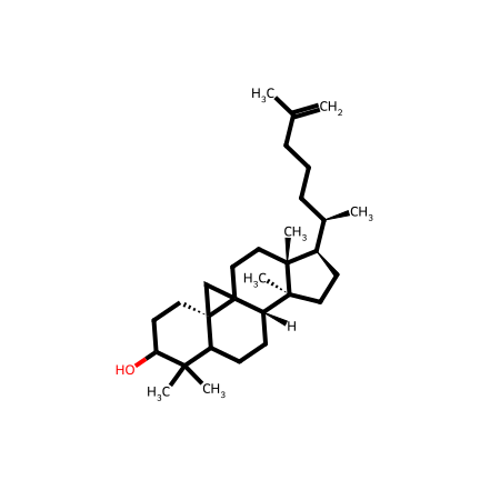 C=C(C)CCC[C@@H](C)[C@H]1CC[C@@]2(C)[C@@H]3CCC4C(C)(C)C(O)CC[C@@]45CC35CC[C@]12C